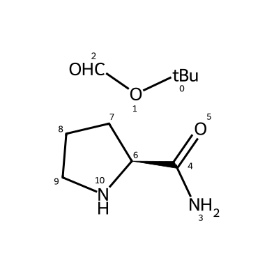 CC(C)(C)OC=O.NC(=O)[C@@H]1CCCN1